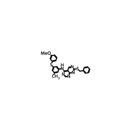 COc1cccc(Sc2cc(C)cc(Nc3ncnc4nc(SCc5ccccc5)ncc34)c2)c1